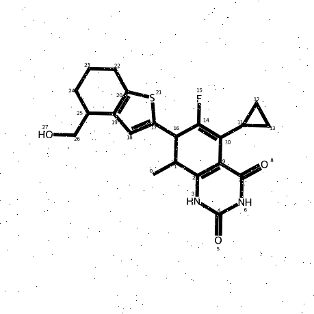 CC1c2[nH]c(=O)[nH]c(=O)c2C(C2CC2)=C(F)C1c1cc2c(s1)CCCC2CO